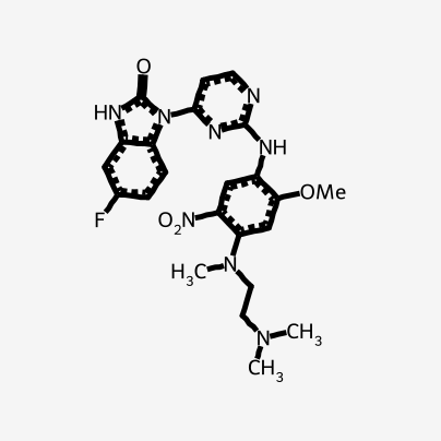 COc1cc(N(C)CCN(C)C)c([N+](=O)[O-])cc1Nc1nccc(-n2c(=O)[nH]c3cc(F)ccc32)n1